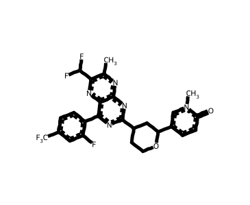 Cc1nc2nc(C3CCOC(c4ccc(=O)n(C)c4)C3)nc(-c3ccc(C(F)(F)F)cc3F)c2nc1C(F)F